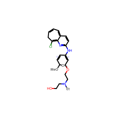 CCN(CCO)CCOC/C=C(\C=C/C(C)OC)Nc1ccc2c(n1)=C(Cl)CC=CC=2